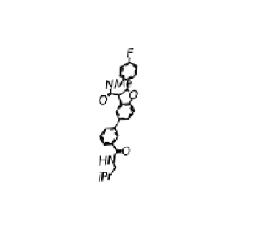 CNC(=O)C1c2cc(-c3cccc(C(=O)NCC(C)C)c3)ccc2OC1c1ccc(F)cc1